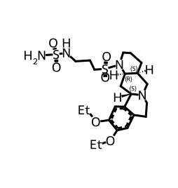 CCOc1cc2c(cc1OCC)[C@@H]1C[C@@H]3[C@@H](CCCN3S(=O)(=O)CCCNS(N)(=O)=O)CN1CC2